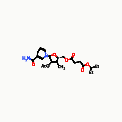 CCC(CC)OC(=O)CCC(=O)OC[C@H]1O[C@@H](N2C=CCC(C(N)=O)=C2)[C@H](OC(C)=O)[C@@H]1C